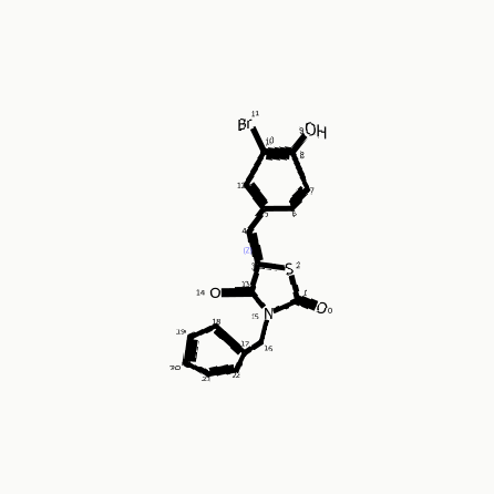 O=C1S/C(=C\c2ccc(O)c(Br)c2)C(=O)N1Cc1ccccc1